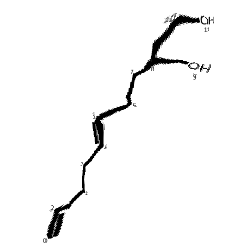 C=CCCC=CCCC(O)CO